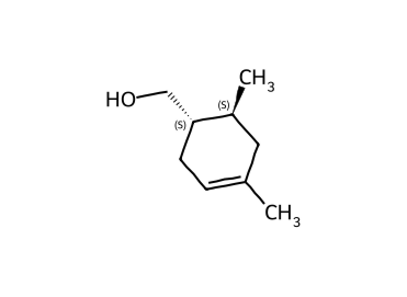 CC1=CC[C@H](CO)[C@@H](C)C1